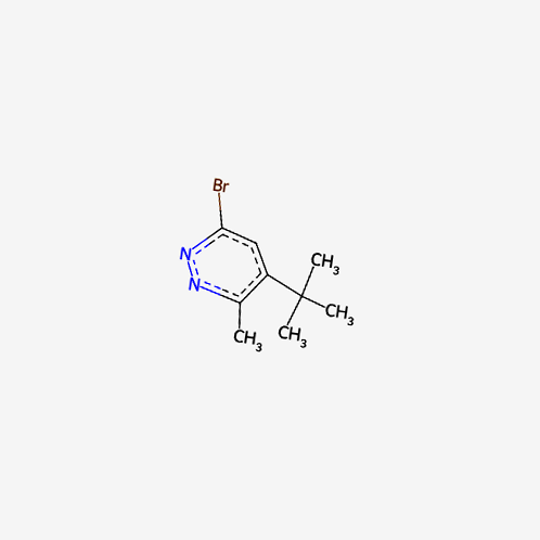 Cc1nnc(Br)cc1C(C)(C)C